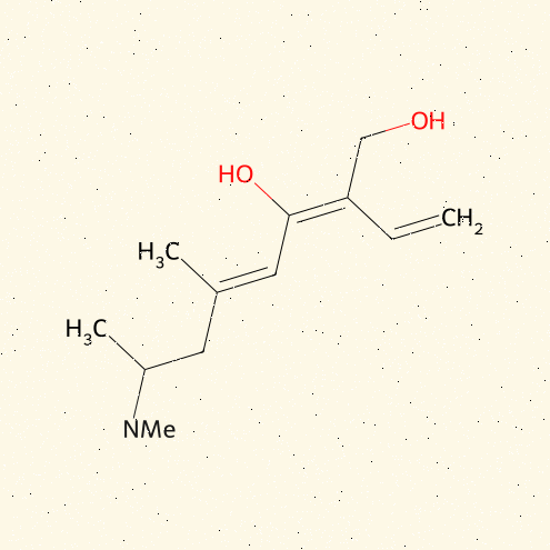 C=C/C(CO)=C(O)\C=C(/C)CC(C)NC